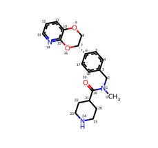 CN(Cc1ccc([C@H]2COc3cccnc3O2)cc1)C(=O)C1CCNCC1